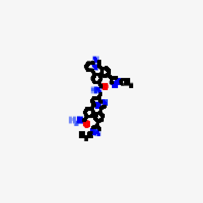 Cn1cc(-c2ccc(-c3cnc4cccc(C5=CCC(C(=O)NCc6ccc(C7=CCC(C(N)=O)CC7)n7c(-c8ccc(-c9cnn(C)c9)cc8)cnc67)CC5)n34)cc2)cn1